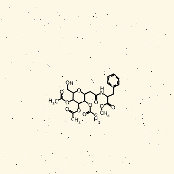 COC(=O)C(Cc1ccccc1)NC(=O)CC1OC(CO)C(OC(C)=O)C(OC(C)=O)C1OC(C)=O